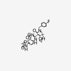 CC1(CC2CC2)CN(Cc2ccc(F)cc2)C(=O)C(C2=NS(=O)(=O)c3cc(NS(C)(=O)=O)ccc3N2)=C1O